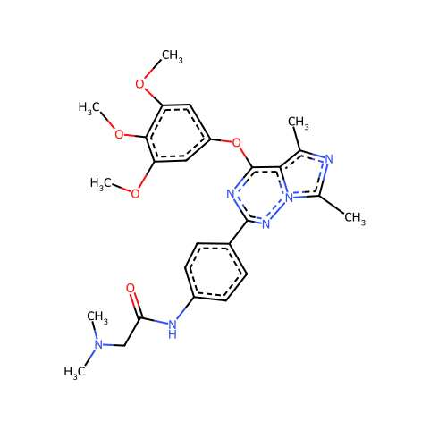 COc1cc(Oc2nc(-c3ccc(NC(=O)CN(C)C)cc3)nn3c(C)nc(C)c23)cc(OC)c1OC